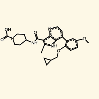 COc1ccc(OCC2CC2)c(-c2ccnc3c(C(=O)NC4CCN(C(=O)O)CC4)c(C)[nH]c23)c1